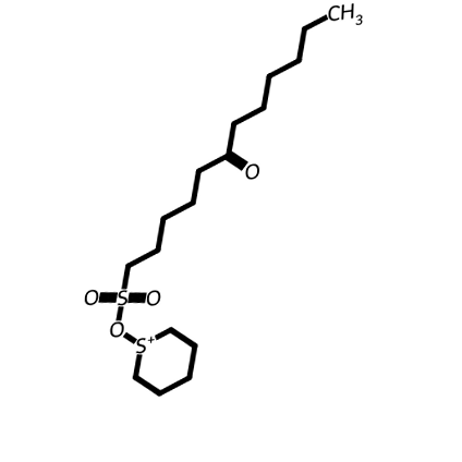 CCCCCCC(=O)CCCCCS(=O)(=O)O[S+]1CCCCC1